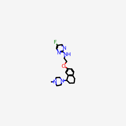 CN1CCN(C2CCCc3ccc(OCCNc4ncc(F)cn4)cc32)CC1